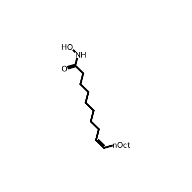 CCCCCCCC/C=C\CCCCCCCC(=O)NO